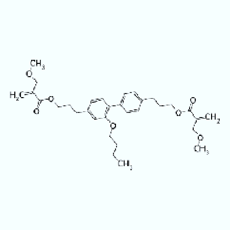 C=C(COC)C(=O)OCCCc1ccc(-c2ccc(CCCOC(=O)C(=C)COC)cc2OCCCC)cc1